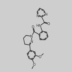 COc1ccc(C2=NN(C(=O)c3ccccc3NC(=O)c3ncccn3)CCC2)cc1OC